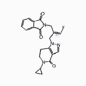 O=C1c2ccccc2C(=O)N1C/C(=C\F)Cn1ncc2c1CCN(C1CC1)C2=O